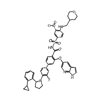 O=C(NS(=O)(=O)c1ccc(NCC2CCOCC2)c([N+](=O)[O-])c1)c1ccc(-c2ccc(N3CCCC3c3ccccc3C3CC3)c(F)c2)cc1Oc1cnc2[nH]ccc2c1